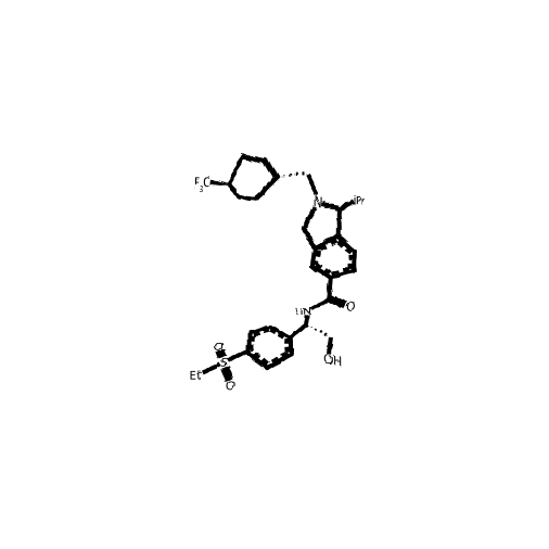 CCS(=O)(=O)c1ccc([C@@H](CO)NC(=O)c2ccc3c(c2)CN(C[C@H]2CC[C@H](C(F)(F)F)CC2)C3C(C)C)cc1